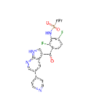 CCCS(=O)(=O)Nc1c(F)ccc(C(=O)c2c[nH]c3ncc(-c4ccncc4)cc23)c1F